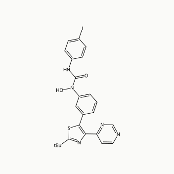 CC(C)(C)c1nc(-c2ccncn2)c(-c2cccc(N(O)C(=O)Nc3ccc(I)cc3)c2)s1